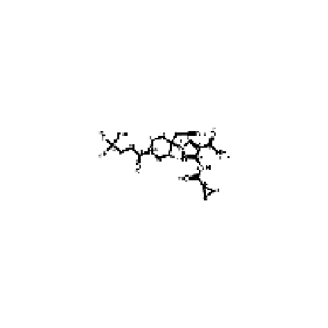 N#CCC1(n2cc(C(N)=O)c(NC(=O)C3CC3)n2)CCN(C(=O)CCC(F)(F)F)CC1